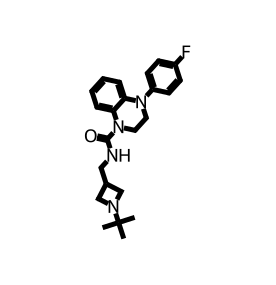 CC(C)(C)N1CC(CNC(=O)N2CCN(c3ccc(F)cc3)c3ccccc32)C1